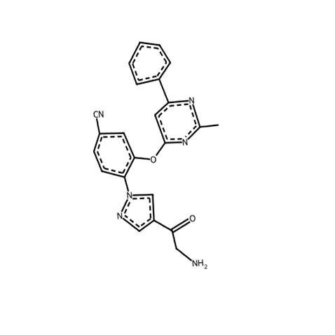 Cc1nc(Oc2cc(C#N)ccc2-n2cc(C(=O)CN)cn2)cc(-c2ccccc2)n1